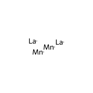 [La].[La].[Mn].[Mn]